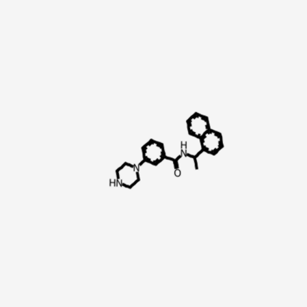 CC(NC(=O)c1cccc(N2CCNCC2)c1)c1cccc2ccccc12